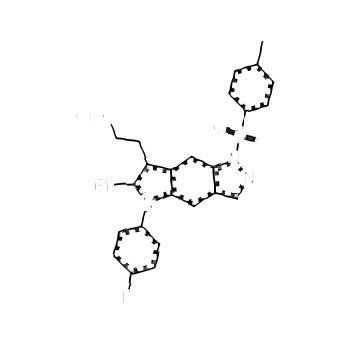 Cc1ccc(S(=O)(=O)n2ncc3cc4c(cc32)c(CCC=O)c(C(C)C)n4-c2ccc(F)cc2)cc1